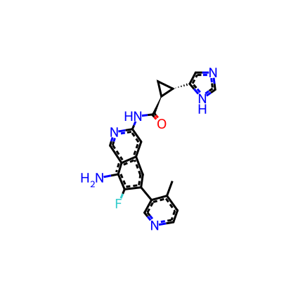 Cc1ccncc1-c1cc2cc(NC(=O)[C@H]3C[C@@H]3c3cnc[nH]3)ncc2c(N)c1F